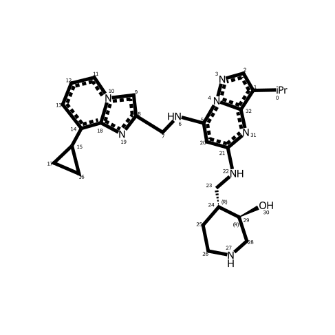 CC(C)c1cnn2c(NCc3cn4cccc(C5CC5)c4n3)cc(NC[C@H]3CCNC[C@@H]3O)nc12